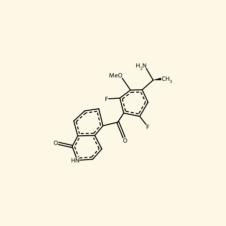 COc1c([C@H](C)N)cc(F)c(C(=O)c2cccc3c(=O)[nH]ccc23)c1F